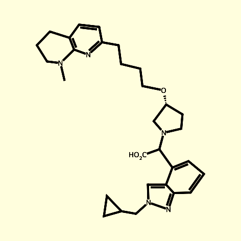 CN1CCCc2ccc(CCCCO[C@@H]3CCN(C(C(=O)O)c4cccc5nn(CC6CC6)cc45)C3)nc21